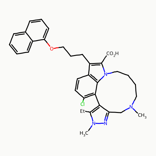 CCc1c2c(nn1C)CN(C)CCCCn1c(C(=O)O)c(CCCOc3cccc4ccccc34)c3ccc(Cl)c-2c31